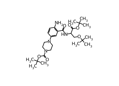 CC(C)(C)OCC(NC(=O)c1cc(N2CCN(C(=O)OC(C)(C)C)CC2)ccc1N)C(=O)OC(C)(C)C